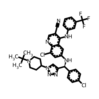 CC(C)(C)N1CCC(n2cc([C@@H](Nc3cc(Cl)c4ncc(C#N)c(Nc5cccc(C(F)(F)F)c5)c4c3)c3ccc(Cl)cc3)nn2)CC1